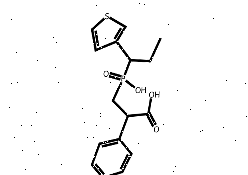 CCC(c1ccsc1)P(=O)(O)CC(C(=O)O)c1ccccc1